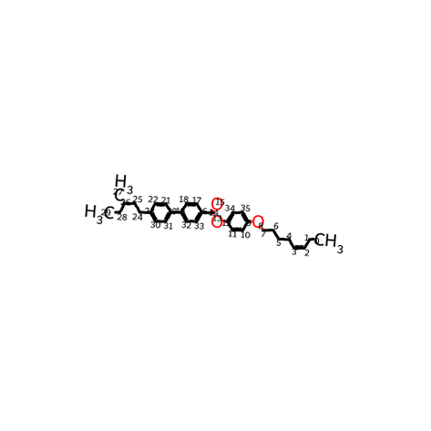 CC/C=C\CCCCOc1ccc(OC(=O)c2ccc(-c3ccc(CC[C@@H](C)CC)cc3)cc2)cc1